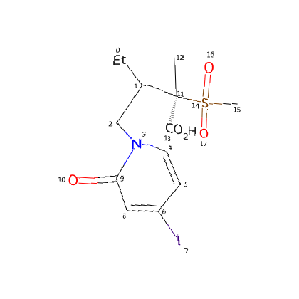 CCC(Cn1ccc(I)cc1=O)[C@](C)(C(=O)O)S(C)(=O)=O